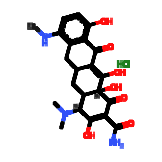 CCNc1ccc(O)c2c1CC1CC3[C@H](N(C)C)C(O)=C(C(N)=O)C(=O)[C@@]3(O)C(O)=C1C2=O.Cl